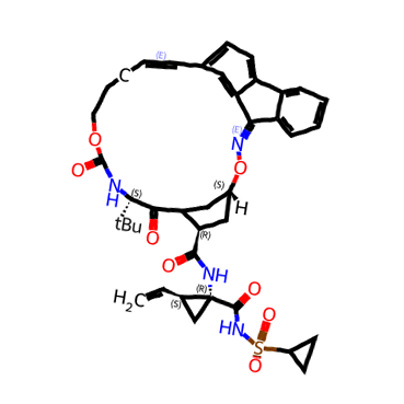 C=C[C@@H]1C[C@]1(NC(=O)[C@@H]1C[C@@H]2CC1C(=O)[C@H](C(C)(C)C)NC(=O)OCCC/C=C/c1ccc3c(c1)/C(=N/O2)c1ccccc1-3)C(=O)NS(=O)(=O)C1CC1